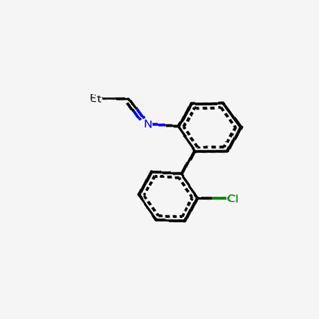 CC/C=N/c1ccccc1-c1ccccc1Cl